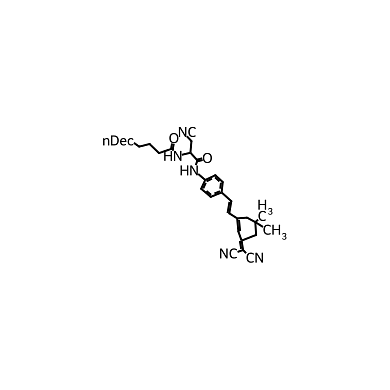 CCCCCCCCCCCCCC(=O)NC(CC#N)C(=O)Nc1ccc(/C=C/C2=CC(=C(C#N)C#N)CC(C)(C)C2)cc1